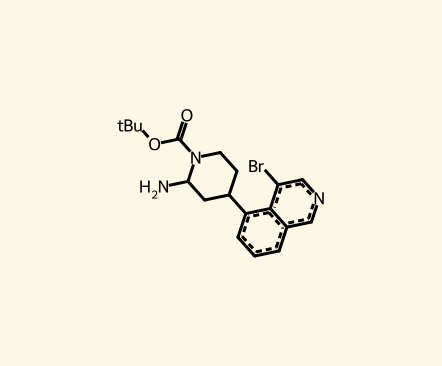 CC(C)(C)OC(=O)N1CCC(c2cccc3cncc(Br)c23)CC1N